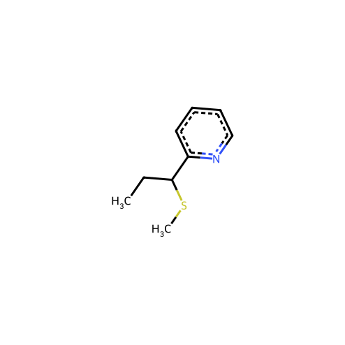 CCC(SC)c1ccccn1